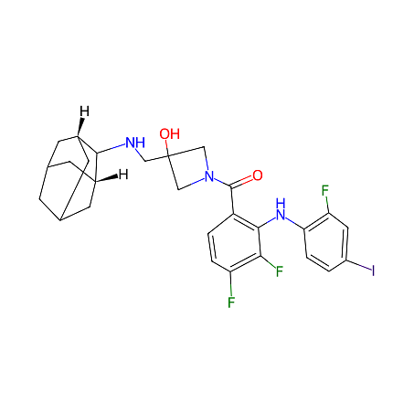 O=C(c1ccc(F)c(F)c1Nc1ccc(I)cc1F)N1CC(O)(CNC2[C@H]3CC4CC(C3)C[C@@H]2C4)C1